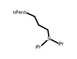 CCCCCCCC[Si](C(C)C)C(C)C